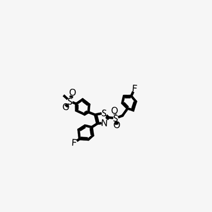 CS(=O)(=O)c1ccc(-c2sc(S(=O)(=O)Cc3ccc(F)cc3)nc2-c2ccc(F)cc2)cc1